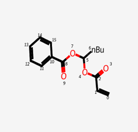 C=CC(=O)OC(CCCC)OC(=O)c1ccccc1